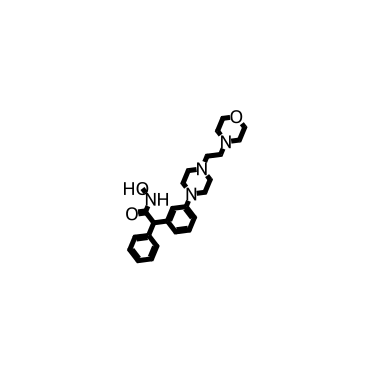 O=C(NO)C(c1ccccc1)c1cccc(N2CCN(CCN3CCOCC3)CC2)c1